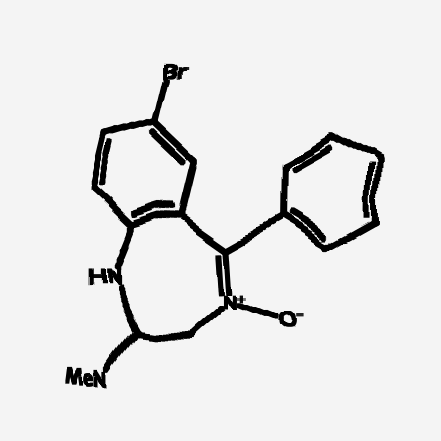 CNC1C[N+]([O-])=C(c2ccccc2)c2cc(Br)ccc2N1